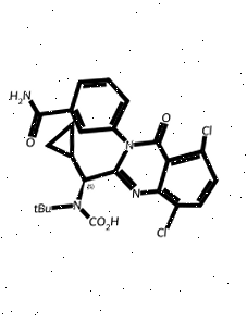 CC(C)(C)N(C(=O)O)[C@H](c1nc2c(Cl)ccc(Cl)c2c(=O)n1-c1cccc(C(N)=O)c1)C1CC1